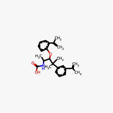 C=C(C)c1cccc(C(C)(C)C(Oc2ccccc2C(=C)C)C(C)NC(=O)O)c1